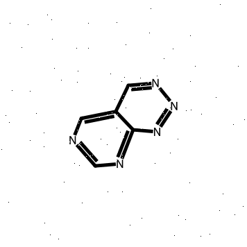 c1ncc2cnnnc2n1